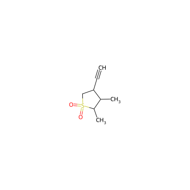 C#CC1CS(=O)(=O)C(C)C1C